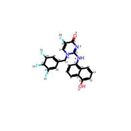 O=c1nc(Nc2cccc3c(O)cccc23)n(CC2=CC(F)C(F)C(F)=C2)cc1F